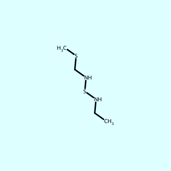 CCNSNCSC